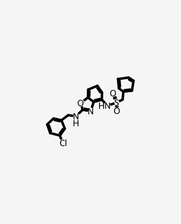 O=S(=O)(Cc1ccccc1)Nc1cccc2oc(NCc3cccc(Cl)c3)nc12